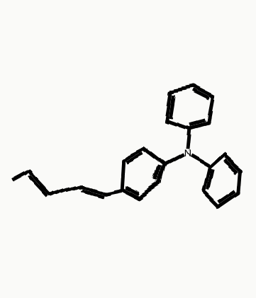 C/C=C/C=C/c1ccc(N(c2ccccc2)c2ccccc2)cc1